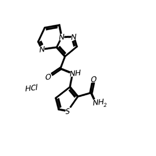 Cl.NC(=O)c1sccc1NC(=O)c1cnn2cccnc12